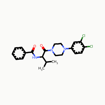 CC(C)C(NC(=O)c1ccccc1)C(=O)N1CCN(c2ccc(Cl)c(Cl)c2)CC1